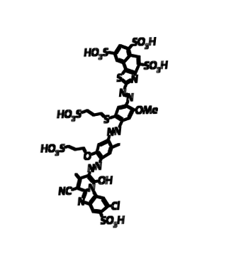 COc1cc(N=Nc2cc(OCCCS(=O)(=O)O)c(N=Nc3c(C)c(C#N)c4nc5cc(S(=O)(=O)O)c(Cl)cc5n4c3O)cc2C)c(SCCCS(=O)(=O)O)cc1N=Nc1nc2c(S(=O)(=O)O)cc3c(S(=O)(=O)O)cc(S(=O)(=O)O)cc3c2s1